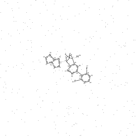 CC1(C)[C@H]2CC[C@]1(c1ccn3ccnc3n1)c1nnc(-c3c(F)cccc3F)cc12